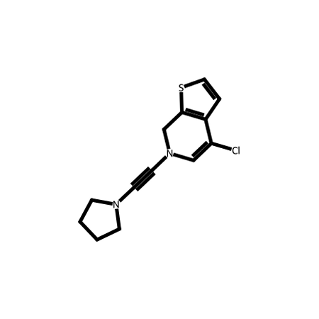 ClC1=CN(C#CN2CCCC2)Cc2sccc21